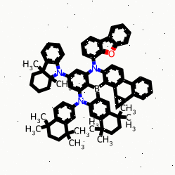 CC1(C)CCC(C)(C)c2cc(N3c4cc5c(cc4B4c6c3cc(N3c7ccccc7C7(C)CCCCC37C)cc6N(c3cccc6c3oc3ccccc36)c3ccc6c(c34)C3CC3c3ccccc3-6)C(C)(C)CCC5(C)C)ccc21